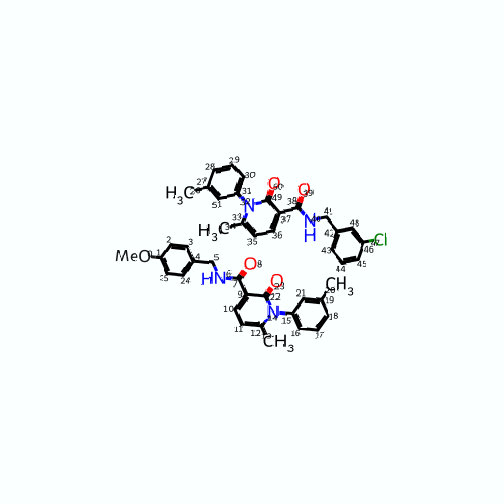 COc1ccc(CNC(=O)c2ccc(C)n(-c3cccc(C)c3)c2=O)cc1.Cc1cccc(-n2c(C)ccc(C(=O)NCc3cccc(Cl)c3)c2=O)c1